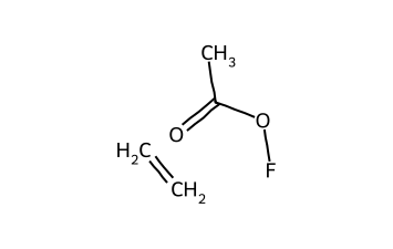 C=C.CC(=O)OF